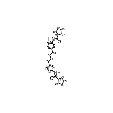 O=C(Nc1nnc(CCCCc2nnc(NC(=O)C3CCCC3)s2)s1)C1CCCC1